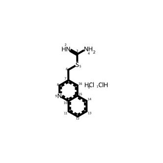 Cl.Cl.N=C(N)SCc1cnc2ccccc2c1